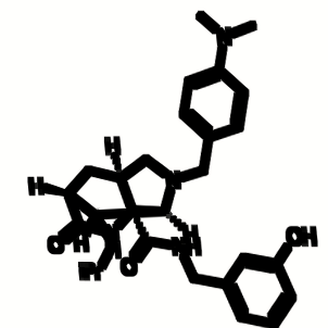 CC(C)C[C@H]1[C@@H]2N(Cc3ccc(N(C)C)cc3)C[C@@H]3C[C@H]1C(=O)N[C@@]32C(=O)NCc1cccc(O)c1